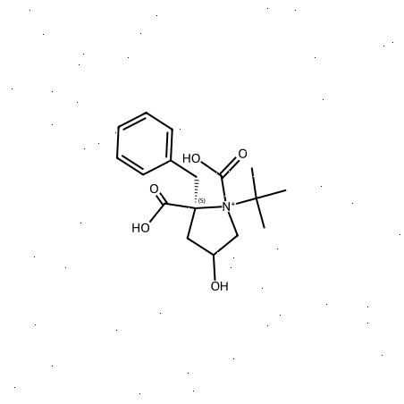 CC(C)(C)[N+]1(C(=O)O)CC(O)C[C@@]1(Cc1ccccc1)C(=O)O